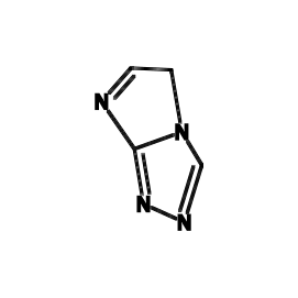 C1=Nc2nncn2C1